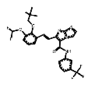 CC(C)(C)COc1c(/C=C/c2nc3sccn3c2C(=O)Nc2cccc(C(F)(F)F)c2)cccc1OC(F)F